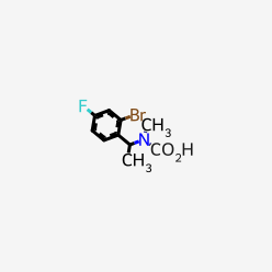 CC(c1ccc(F)cc1Br)N(C)C(=O)O